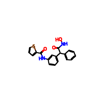 O=C(Nc1cccc(C(C(=O)NO)c2ccccc2)c1)c1cccs1